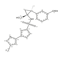 COc1cccc([C@]2(C)C[C@]2(NS(=O)(=O)c2ccc(-c3cc(C(F)(F)F)on3)s2)C(=O)O)c1